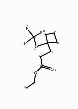 CCOC(=O)CCC1(OC(F)(F)F)CCC1